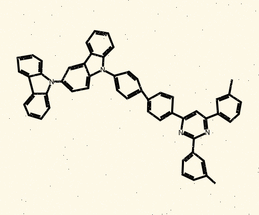 Cc1cccc(-c2cc(-c3ccc(-c4ccc(-n5c6ccccc6c6cc(-n7c8ccccc8c8ccccc87)ccc65)cc4)cc3)nc(-c3cccc(C)c3)n2)c1